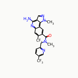 CN(Cc1ccc(C(F)(F)F)cn1)C(=O)c1cc2c(cc1C(F)(F)F)nc(N)c1cnn(C)c12